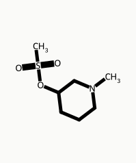 CN1CCCC(OS(C)(=O)=O)C1